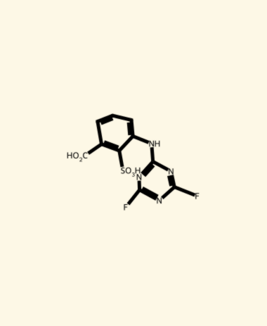 O=C(O)c1cccc(Nc2nc(F)nc(F)n2)c1S(=O)(=O)O